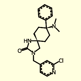 CN(C)[C@]1(c2ccccc2)CC[C@@]2(CC1)CN(Cc1ccnc(Cl)c1)C(=O)N2